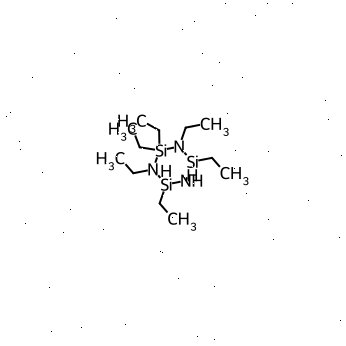 CCN1[SiH](CC)N[SiH](CC)N(CC)[Si]1(CC)CC